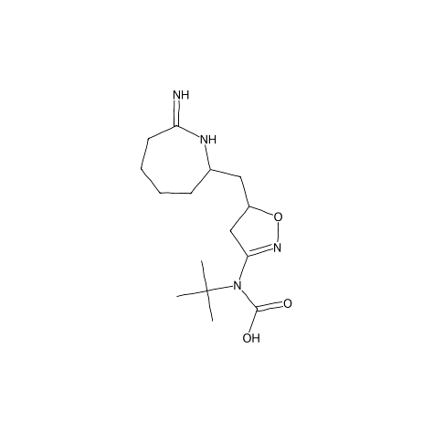 CC(C)(C)N(C(=O)O)C1=NOC(CC2CCCCC(=N)N2)C1